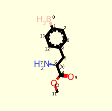 Bc1ccc(C[C@H](N)C(=O)OC)cc1